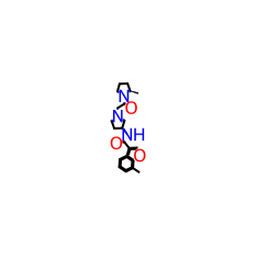 Cc1cccc2c(C(=O)N[C@H]3CCN(CC(=O)N4CCC[C@H]4C)C3)coc12